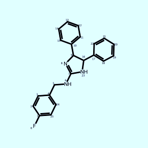 Fc1ccc(CNC2=NC(c3ccccc3)C(c3ccccc3)N2)cc1